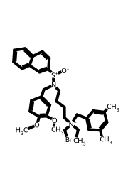 CC[N+](CBr)(CCCCN(Cc1ccc(OC)c(OC)c1)[S+]([O-])c1ccc2ccccc2c1)Cc1cc(C)cc(C)c1